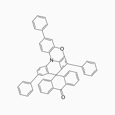 O=C1c2ccccc2C2(c3ccccc31)c1cc(-c3ccccc3)ccc1N1c3ccc(-c4ccccc4)cc3Oc3cc(-c4ccccc4)cc2c31